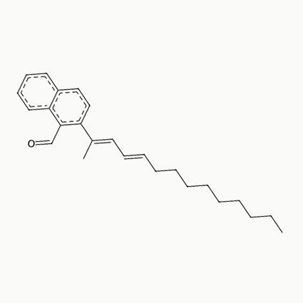 CCCCCCCCCC=CC=C(C)c1ccc2ccccc2c1C=O